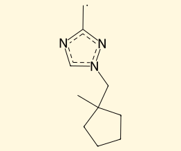 [CH2]c1ncn(CC2(C)CCCC2)n1